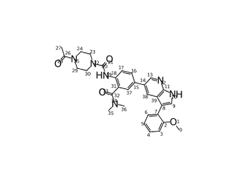 COc1ccccc1-c1c[nH]c2ncc(-c3ccc(NC(=O)N4CCN(C(C)=O)CC4)c(C(=O)N(C)C)c3)cc12